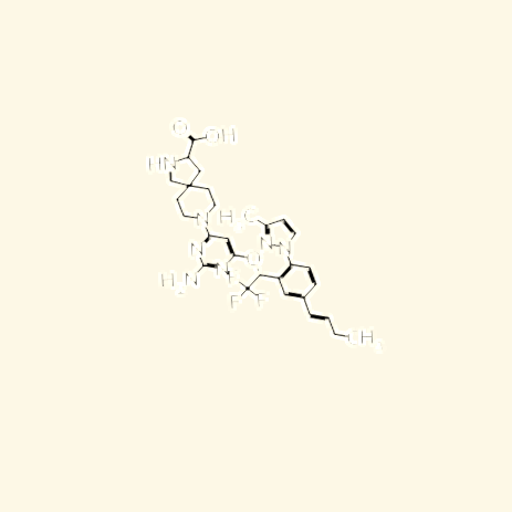 CC/C=C/c1ccc(-n2ccc(C)n2)c([C@@H](Oc2cc(N3CCC4(CC3)CNC(C(=O)O)C4)nc(N)n2)C(F)(F)F)c1